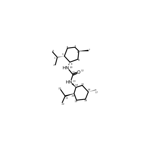 CC(C)[C@@H]1CC[C@@H](C)C[C@@H]1NC(=O)N[C@H]1C[C@H](C)CC[C@H]1C(C)C